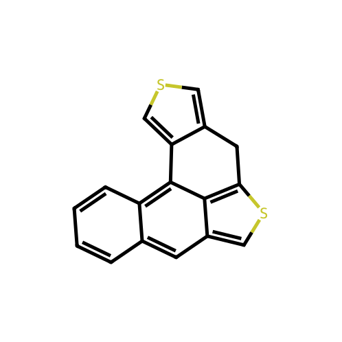 c1ccc2c3c4c(scc4cc2c1)Cc1cscc1-3